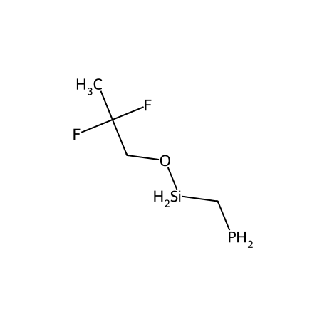 CC(F)(F)CO[SiH2]CP